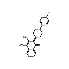 O=C1C(=C2CCC(c3ccc(Cl)cc3)CC2)C(O)=C(O)c2ccccc21